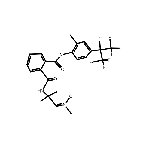 Cc1cc(C(F)(C(F)(F)F)C(F)(F)F)ccc1NC(=O)c1ccccc1C(=O)NC(C)(C)C=[N+](C)O